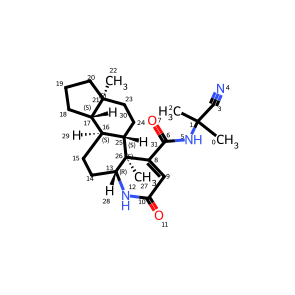 CC(C)(C#N)NC(=O)C1=CC(=O)N[C@@H]2CC[C@H]3[C@@H]4CCC[C@@]4(C)CC[C@@H]3[C@@]12C